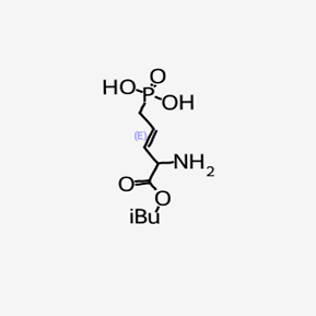 CCC(C)OC(=O)C(N)/C=C/CP(=O)(O)O